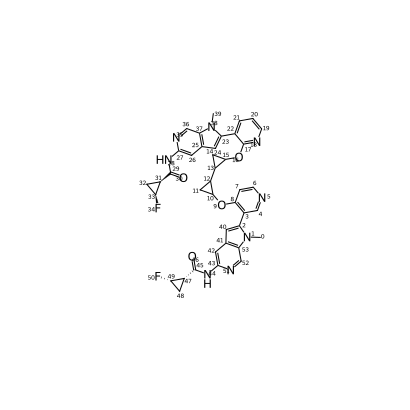 Cn1c(-c2cnccc2OC2CC2C2CC2Oc2ncccc2-c2cc3cc(NC(=O)[C@@H]4C[C@@H]4F)ncc3n2C)cc2cc(NC(=O)[C@@H]3C[C@@H]3F)ncc21